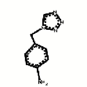 Nc1ccc(Cn2cnnn2)cc1